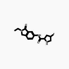 CCN1Cc2ccc(NC(=O)C3CC(F)CN3)cc2C1=O